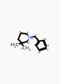 CC1(C)[CH]CCN(Cc2ccccc2)C1